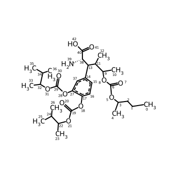 CCCC(C)OC(=O)OC(C)C(C)C(c1ccc(OC(=O)OC(C)C(C)C)c(OC(=O)OC(C)C(C)C)c1)[C@H](N)C(=O)O